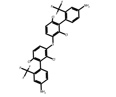 Nc1ccc(-c2c(Cl)ccc(Sc3ccc(Cl)c(-c4ccc(N)cc4C(F)(F)F)c3Cl)c2Cl)c(C(F)(F)F)c1